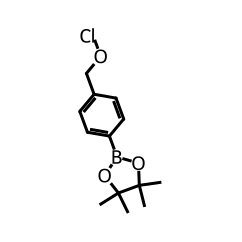 CC1(C)OB(c2ccc(COCl)cc2)OC1(C)C